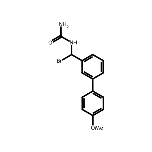 COc1ccc(-c2cccc(C(Br)NC(N)=O)c2)cc1